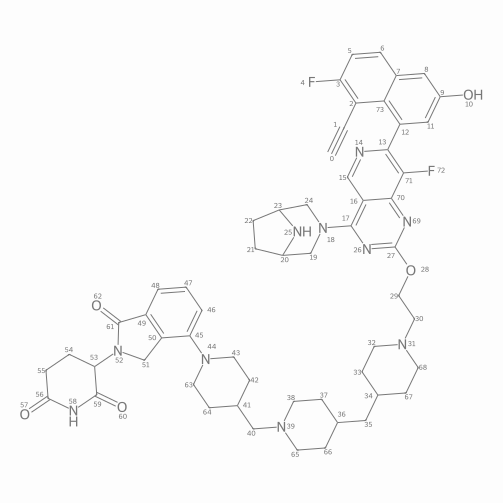 C#Cc1c(F)ccc2cc(O)cc(-c3ncc4c(N5CC6CCC(C5)N6)nc(OCCN5CCC(CC6CCN(CC7CCN(c8cccc9c8CN(C8CCC(=O)NC8=O)C9=O)CC7)CC6)CC5)nc4c3F)c12